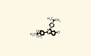 C=C(C)N1CCN(c2nc(-c3ccc(C(C)(C)C)cc3)nc3ccc(Cl)cc23)CC1